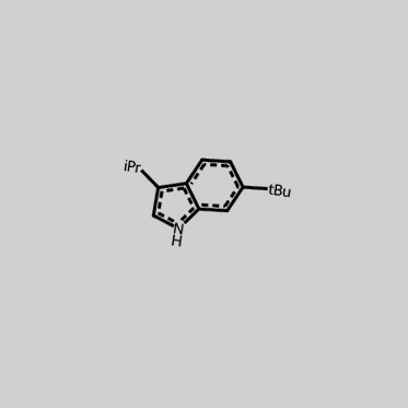 CC(C)c1c[nH]c2cc(C(C)(C)C)ccc12